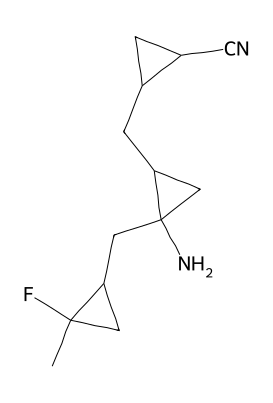 CC1(F)CC1CC1(N)CC1CC1CC1C#N